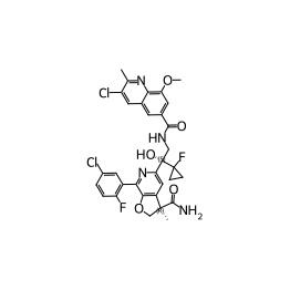 COc1cc(C(=O)NC[C@](O)(c2cc3c(c(-c4cc(Cl)ccc4F)n2)OC[C@]3(C)C(N)=O)C2(F)CC2)cc2cc(Cl)c(C)nc12